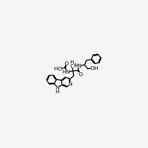 CC(Cc1cc2c(cn1)[nH]c1ccccc12)(NC(=O)O)C(=O)NC(CO)Cc1ccccc1